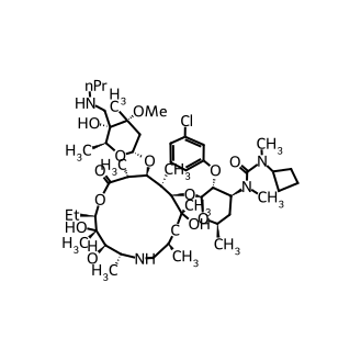 CCCNC[C@]1(O)[C@H](C)O[C@@H](O[C@H]2[C@H](C)[C@@H](O[C@@H]3O[C@H](C)C[C@H](N(C)C(=O)N(C)C4CCC4)[C@H]3Oc3cccc(Cl)c3)[C@](C)(O)C[C@@H](C)CN[C@H](C)[C@@H](O)[C@](C)(O)[C@@H](CC)OC(=O)[C@@H]2C)C[C@@]1(C)OC